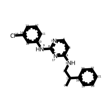 CC(CNc1ccnc(Nc2cccc(Cl)c2)n1)c1ccccc1